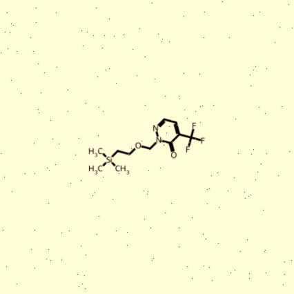 C[Si](C)(C)CCOCn1nccc(C(F)(F)F)c1=O